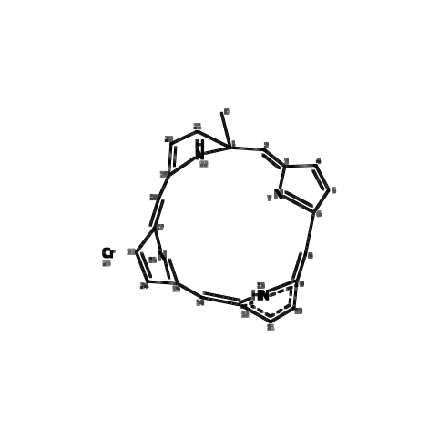 CC12C=C3C=CC(=N3)C=c3ccc([nH]3)=CC3=NC(=CC(=CC1)N2)C=C3.[Cr]